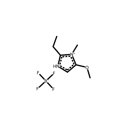 CCc1[nH]cc(OC)[n+]1C.F[B-](F)(F)F